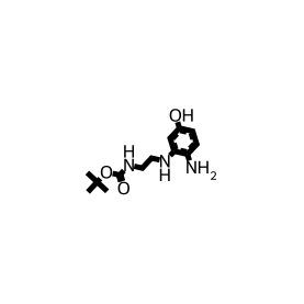 CC(C)(C)OC(=O)NCCNc1cc(O)ccc1N